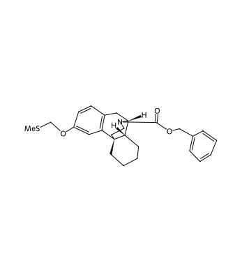 CSCOc1ccc2c(c1)[C@@]13CCCC[C@H]1[C@@H](C2)N(C(=O)OCc1ccccc1)CC3